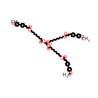 COc1ccc(-c2ccc(C=CC(=O)OCCCCCCCCCC(=O)OCC(COC(=O)CCCCCCCCCOC(=O)C=Cc3ccc(-c4ccc(OC)cc4)cc3)OC(=O)CCCCCCCCCOC(=O)C=Cc3ccc(-c4ccc(OC)cc4)cc3)cc2)cc1